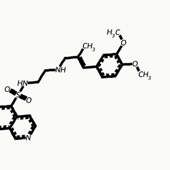 COc1ccc(C=C(C)CNCCNS(=O)(=O)c2cccc3cnccc23)cc1OC